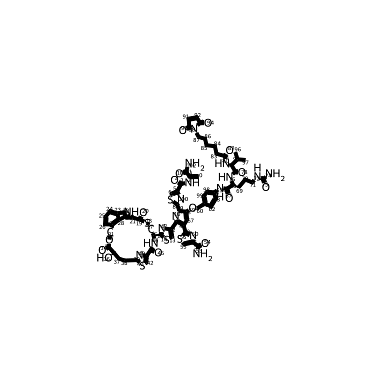 C=C(NC(=O)c1csc(-c2nc(-c3csc([C@@H]4CSC(=O)c5[nH]c6cccc(c6c5C)COC(=O)[C@@H](O)CCc5nc(cs5)C(=O)N4)n3)c(-c3nc(C(N)=O)cs3)cc2OCc2ccc(NC(=O)[C@H](CCCNC(N)=O)NC(=O)[C@@H](NC(=O)CCCCCN3C(=O)C=CC3=O)C(C)C)cc2)n1)C(N)=O